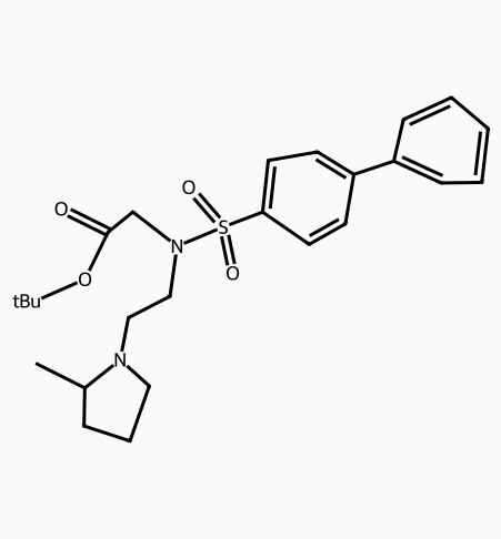 CC1CCCN1CCN(CC(=O)OC(C)(C)C)S(=O)(=O)c1ccc(-c2ccccc2)cc1